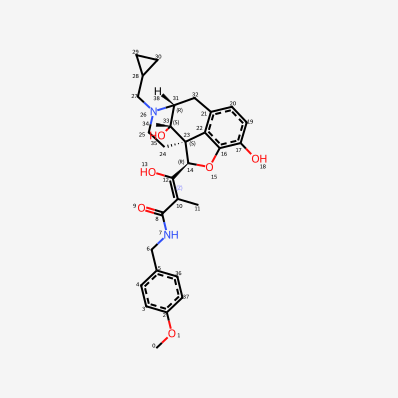 COc1ccc(CNC(=O)/C(C)=C(\O)[C@@H]2Oc3c(O)ccc4c3[C@@]23CCN(CC2CC2)[C@H](C4)[C@@]3(C)O)cc1